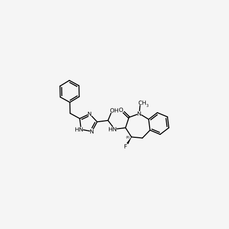 CN1C(=O)C(NC(O)c2n[nH]c(Cc3ccccc3)n2)[C@H](F)Cc2ccccc21